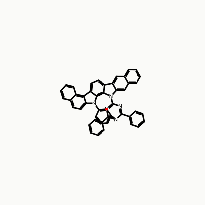 c1ccc(-c2nc(-c3ccccc3)nc(-n3c4cc5ccccc5cc4c4ccc5c6c7ccccc7ccc6n(-c6ccccc6)c5c43)n2)cc1